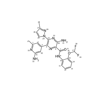 Cc1cc(-c2nc(C(=O)Nc3ccccc3OC(F)F)c(N)nc2-n2ccc(C)n2)cc(N)n1